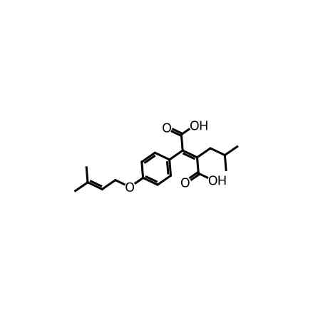 CC(C)=CCOc1ccc(C(C(=O)O)=C(CC(C)C)C(=O)O)cc1